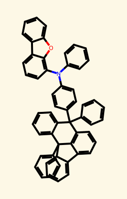 c1ccc(N(c2ccc(C3(c4ccccc4)c4ccccc4C4(c5ccccc5)c5ccccc5-c5cccc3c54)cc2)c2cccc3c2oc2ccccc23)cc1